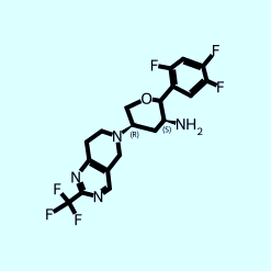 N[C@H]1C[C@@H](N2CCc3nc(C(F)(F)F)ncc3C2)COC1c1cc(F)c(F)cc1F